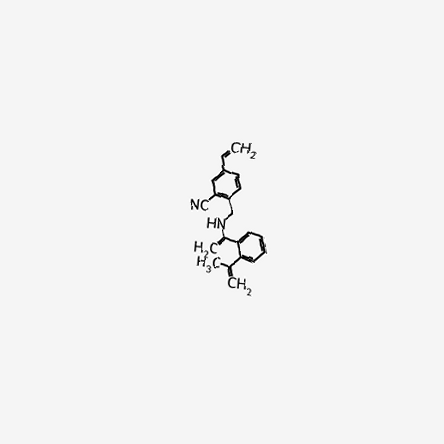 C=Cc1ccc(CNC(=C)c2ccccc2C(=C)C)c(C#N)c1